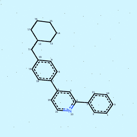 c1ccc(-c2cc(-c3ccc(CC4CCCCC4)cc3)ccn2)cc1